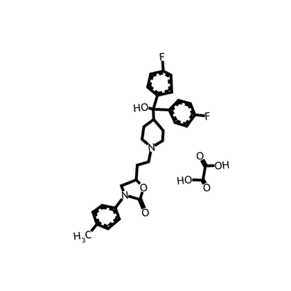 Cc1ccc(N2CC(CCN3CCC(C(O)(c4ccc(F)cc4)c4ccc(F)cc4)CC3)OC2=O)cc1.O=C(O)C(=O)O